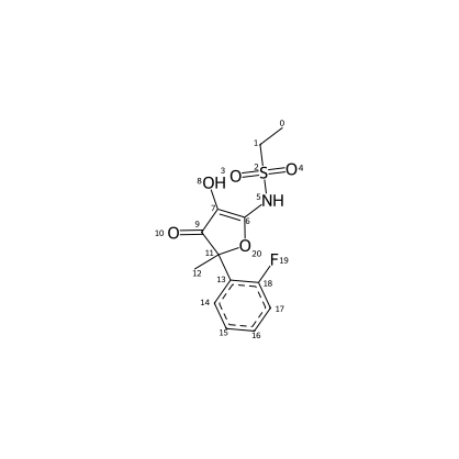 CCS(=O)(=O)NC1=C(O)C(=O)C(C)(c2ccccc2F)O1